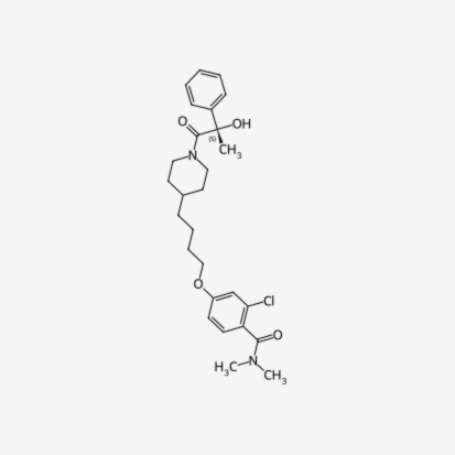 CN(C)C(=O)c1ccc(OCCCCC2CCN(C(=O)[C@@](C)(O)c3ccccc3)CC2)cc1Cl